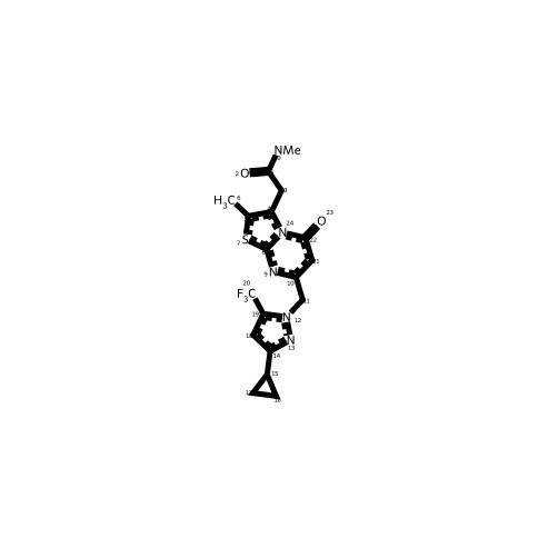 CNC(=O)Cc1c(C)sc2nc(Cn3nc(C4CC4)cc3C(F)(F)F)cc(=O)n12